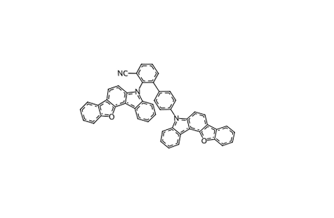 N#Cc1cccc(-c2ccc(-n3c4ccccc4c4c5oc6ccccc6c5ccc43)cc2)c1-n1c2ccccc2c2c3oc4ccccc4c3ccc21